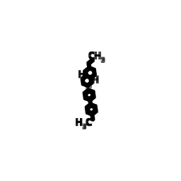 CCCC1CC[C@@H]2C[C@H](c3ccc(-c4ccc(CC)cc4)cc3)CC[C@@H]2C1